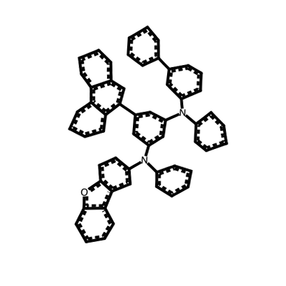 c1ccc(-c2cccc(N(c3ccccc3)c3cc(-c4cc5ccccc5c5ccccc45)cc(N(c4ccccc4)c4ccc5oc6ccccc6c5c4)c3)c2)cc1